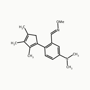 CON=Cc1cc(N(C)C)ccc1C1=C(C)C(C)=C(C)C1